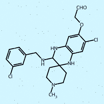 CN1CCC2(CC1)Nc1cc(Cl)c(OCC=O)cc1NC2NCc1cccc(Cl)c1